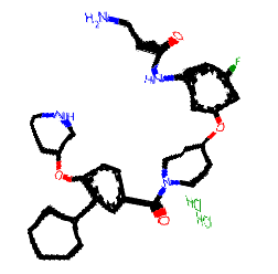 Cl.Cl.NCCC(=O)Nc1cc(F)cc(OC2CCN(C(=O)c3ccc(OC4CCNC4)c(C4CCCCC4)c3)CC2)c1